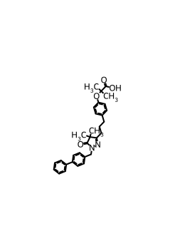 CC(C)(Oc1ccc(CCCC2=NN(Cc3ccc(-c4ccccc4)cc3)C(=O)C2(C)C)cc1)C(=O)O